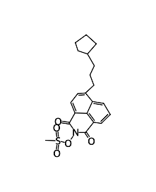 CS(=O)(=O)ON1C(=O)c2cccc3c(CCCC4CCCC4)ccc(c23)C1=O